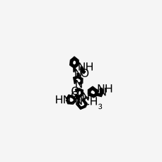 CN(c1ccc2[nH]ncc2c1)C(CC(=O)N1CCC(N2Cc3ccccc3NC2=O)CC1)C(=O)[N+]1(C2CCNCC2)CCCCC1